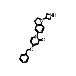 O=c1cc(OCc2ccccc2)ccn1-c1ccc2c(c1)CCN2C1CNC1